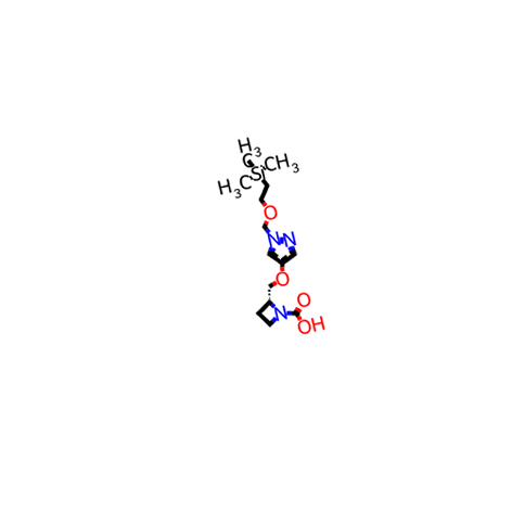 C[Si](C)(C)CCOCn1cc(OC[C@H]2CCN2C(=O)O)cn1